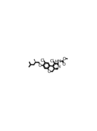 COC(=O)Nc1ncc2c(c1Cl)-c1cc(Cl)c(OC[C@H](C)CC(C)C)cc1OC2